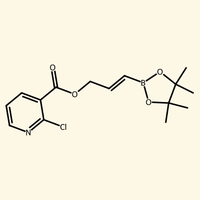 CC1(C)OB(/C=C/COC(=O)c2cccnc2Cl)OC1(C)C